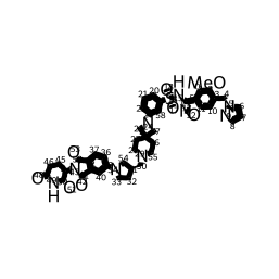 COc1cc(Cn2cccn2)cc2onc(NS(=O)(=O)c3cccc(N4CC5(CCN(C[C@H]6CCN(c7ccc8c(c7)C(=O)N(C7CCC(=O)NC7=O)C8=O)C6)CC5)C4)c3)c12